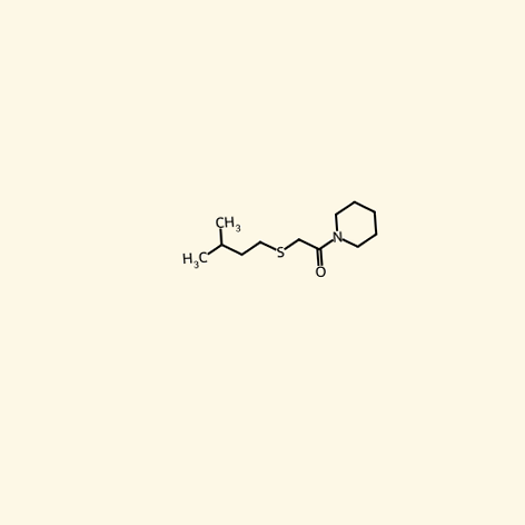 CC(C)CCSCC(=O)N1CCCCC1